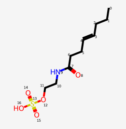 CCC/C=C/CCC(=O)NCCOS(=O)(=O)O